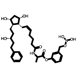 CC(NC(=O)CCC/C=C\C[C@@H]1[C@@H](CC[C@@H](O)CCc2ccccc2)[C@H](O)C[C@@H]1O)C(=O)Oc1cccc(CON(O)O)c1